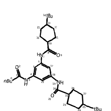 CCCCC(=O)Nc1cc(NC(=O)C2CCC(C(C)(C)C)CC2)cc(NC(=O)C2CCC(C(C)(C)C)CC2)c1